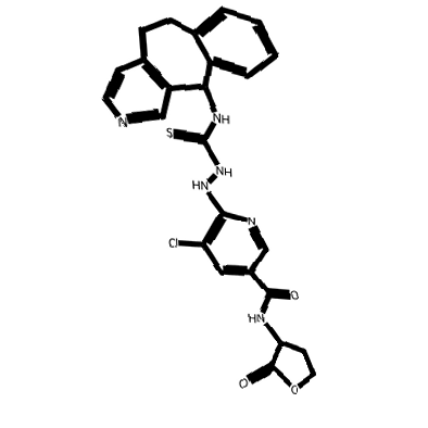 O=C(NC1CCOC1=O)c1cnc(NNC(=S)NC2c3ccccc3CCc3ccncc32)c(Cl)c1